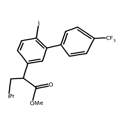 COC(=O)C(CC(C)C)c1ccc(I)c(-c2ccc(C(F)(F)F)cc2)c1